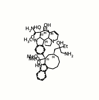 CCC(O)(CN)C[C@H]1CCCCc2c([nH]c3ccccc23)[C@@](C(=O)OC)(c2cc3c(cc2OC)N(C)C2[C@]34CCN3CC=C[C@](CC)(C34)[C@@H](O)[C@]2(O)C(N)=O)C1